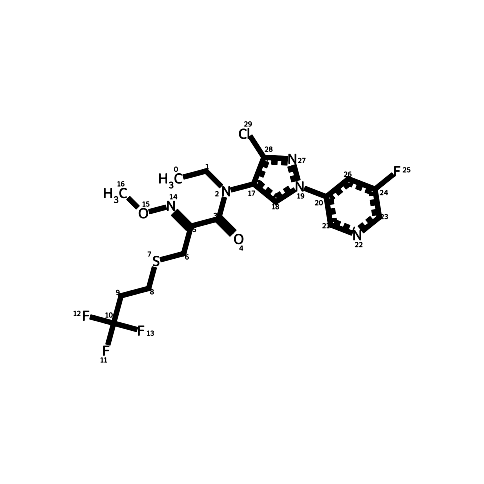 CCN(C(=O)C(CSCCC(F)(F)F)=NOC)c1cn(-c2cncc(F)c2)nc1Cl